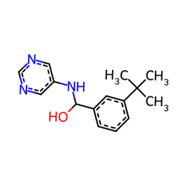 CC(C)(C)c1cccc(C(O)Nc2cncnc2)c1